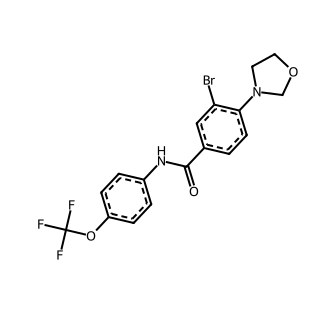 O=C(Nc1ccc(OC(F)(F)F)cc1)c1ccc(N2CCOC2)c(Br)c1